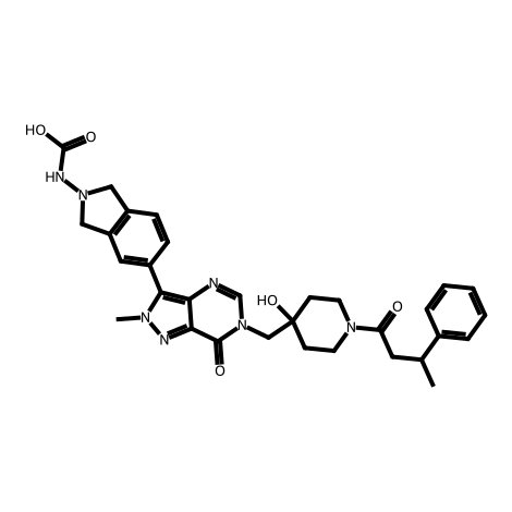 CC(CC(=O)N1CCC(O)(Cn2cnc3c(-c4ccc5c(c4)CN(NC(=O)O)C5)n(C)nc3c2=O)CC1)c1ccccc1